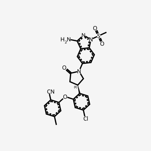 Cc1ccc(C#N)c(Oc2cc(Cl)ccc2[C@H]2CC(=O)N(c3ccc4c(c3)c(N)nn4S(C)(=O)=O)C2)c1